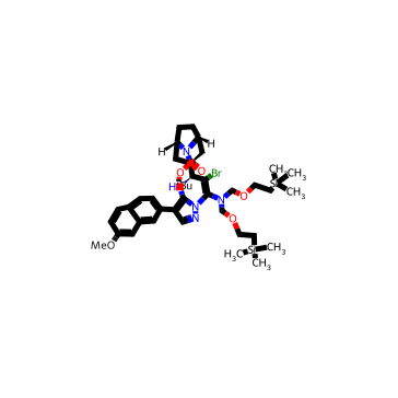 COc1ccc2ccc(-c3cnn4c3N[C@H]([C@@H]3C[C@H]5CC[C@@H](C3)N5C(=O)OC(C)(C)C)C(Br)=C4N(COCC[Si](C)(C)C)COCC[Si](C)(C)C)cc2c1